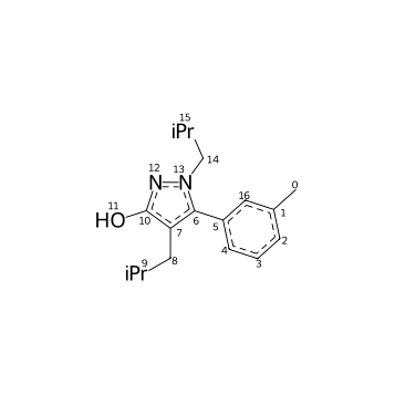 Cc1cccc(-c2c(CC(C)C)c(O)nn2CC(C)C)c1